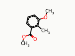 COC(=O)c1cccc(OC)c1C